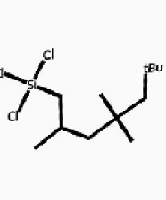 CC(CC(C)(C)CC(C)(C)C)C[Si](Cl)(Cl)Cl